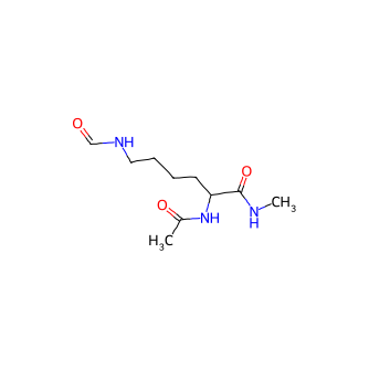 CNC(=O)C(CCCCNC=O)NC(C)=O